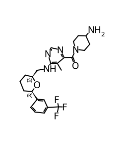 Cc1c(NC[C@@H]2CCC[C@H](c3cccc(C(F)(F)F)c3)O2)ncnc1C(=O)N1CCC(N)CC1